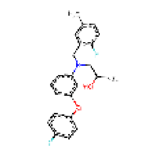 OC(CN(Cc1cc(C(F)(F)F)ccc1F)c1cccc(Oc2ccc(F)cc2)c1)C(F)(F)F